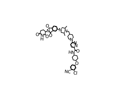 CC1CN(c2ccc3c(c2)C(=O)N(C2CCC(=O)NC2=O)C3=O)CC(C)N1CC1CCN(c2ccc(C(=O)NC3CCC(Oc4ccc(C#N)c(Cl)c4)CC3)nn2)CC1